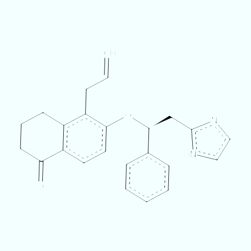 C=CCc1c(O[C@@H](Cc2ncc[nH]2)c2ccccc2)ccc2c1CCCC2=O